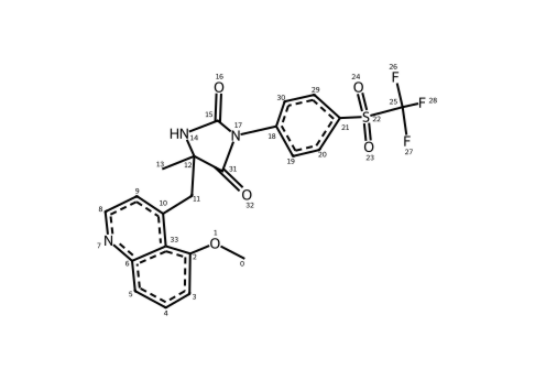 COc1cccc2nccc(CC3(C)NC(=O)N(c4ccc(S(=O)(=O)C(F)(F)F)cc4)C3=O)c12